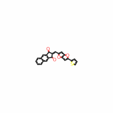 O=C1C(=Cc2cc3oc(-c4cccs4)cc3o2)C(=O)c2cc3ccccc3cc21